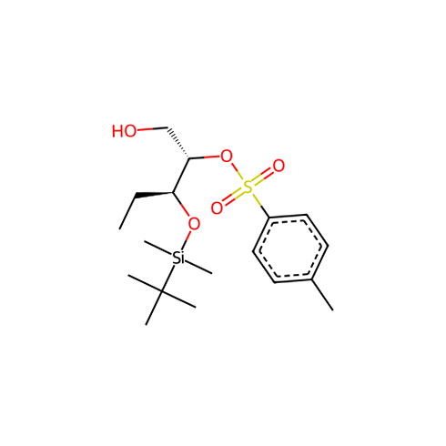 CC[C@H](O[Si](C)(C)C(C)(C)C)[C@H](CO)OS(=O)(=O)c1ccc(C)cc1